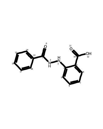 O=C(NNc1ccccc1C(=O)O)c1ccccc1